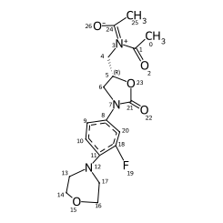 CC(=O)[N+](C[C@H]1CN(c2ccc(N3CCOCC3)c(F)c2)C(=O)O1)=C(C)[O-]